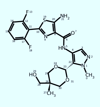 Cn1ncc(NC(=O)c2nc(-c3c(F)cccc3F)sc2N)c1[C@H]1OC[C@@](C)(CO)CO1